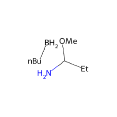 BCCCC.CCC(N)OC